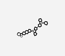 C1=Cc2c(oc3cc4cc5cc(-n6c7ccccc7c7cc(-c8ccc9c(c8)c8ccccc8n9-c8ccccc8)ccc76)ccc5cc4cc23)CC1